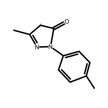 CC1=NN(c2ccc(C)cc2)C(=O)[CH]1